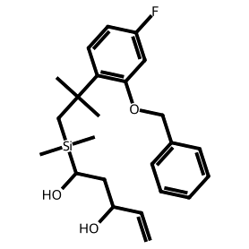 C=CC(O)CC(O)[Si](C)(C)CC(C)(C)c1ccc(F)cc1OCc1ccccc1